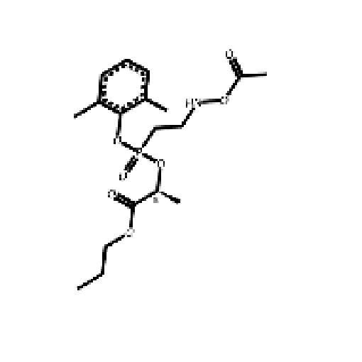 CCCOC(=O)[C@H](C)OP(=O)(CCNOC(C)=O)Oc1c(C)cccc1C